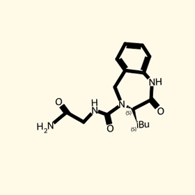 CC[C@H](C)[C@H]1C(=O)Nc2ccccc2CN1C(=O)NCC(N)=O